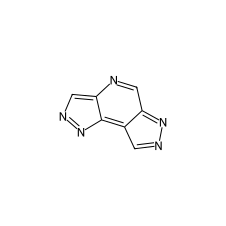 C1=NN=c2cnc3c(c21)N=NC=3